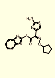 Nc1nc(/C(=N/OC2CCCC2)C(=O)Sc2nc3ccccc3s2)cs1